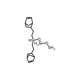 [SiH3]O[SiH2]O[SiH](CCC1CC2C=CC1C2)CCC1CC2C=CC1C2